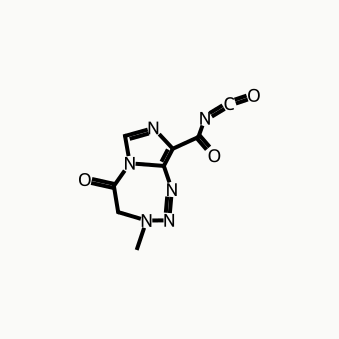 CN1CC(=O)n2cnc(C(=O)N=C=O)c2N=N1